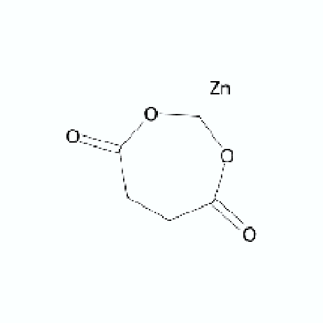 O=C1CCC(=O)OCO1.[Zn]